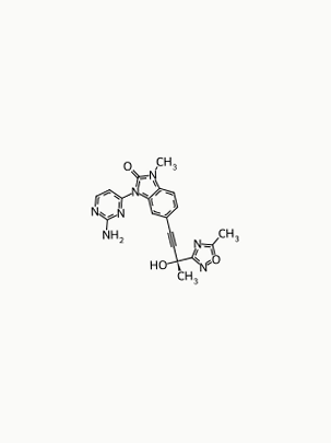 Cc1nc([C@](C)(O)C#Cc2ccc3c(c2)n(-c2ccnc(N)n2)c(=O)n3C)no1